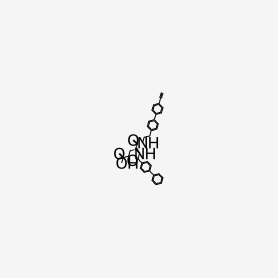 C#Cc1ccc(-c2ccc(CCNC(=O)[C@H](CCC(=O)O)NC(=O)c3ccc(-c4ccccc4)cc3)cc2)cc1